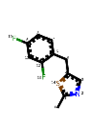 Cc1ncc(Cc2ccc(F)cc2F)s1